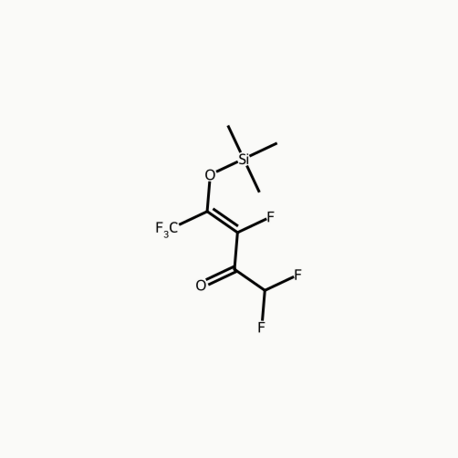 C[Si](C)(C)OC(=C(F)C(=O)C(F)F)C(F)(F)F